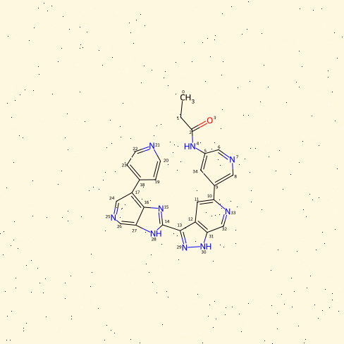 CCC(=O)Nc1cncc(-c2cc3c(-c4nc5c(-c6ccncc6)cncc5[nH]4)n[nH]c3cn2)c1